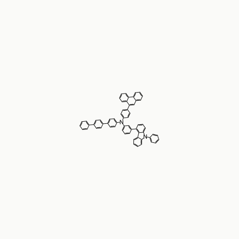 c1ccc(-c2ccc(-c3ccc(N(c4ccc(-c5cc6ccccc6c6ccccc56)cc4)c4cccc(-c5cccc6c5c5ccccc5n6-c5ccccc5)c4)cc3)cc2)cc1